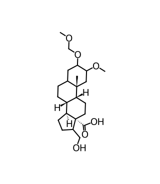 COCOC1CC2CC[C@@H]3[C@@H](CC[C@@]4(C(=O)O)C(CO)CC[C@@H]34)[C@@]2(C)CC1OC